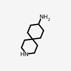 NC1CCC2(CCNCC2)CC1